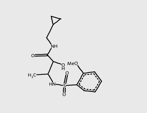 COc1ccccc1S(=O)(=O)NC(C)C(O)C(=O)NCC1CC1